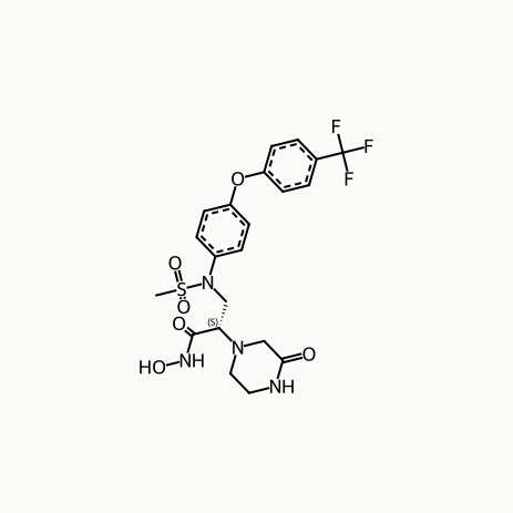 CS(=O)(=O)N(C[C@@H](C(=O)NO)N1CCNC(=O)C1)c1ccc(Oc2ccc(C(F)(F)F)cc2)cc1